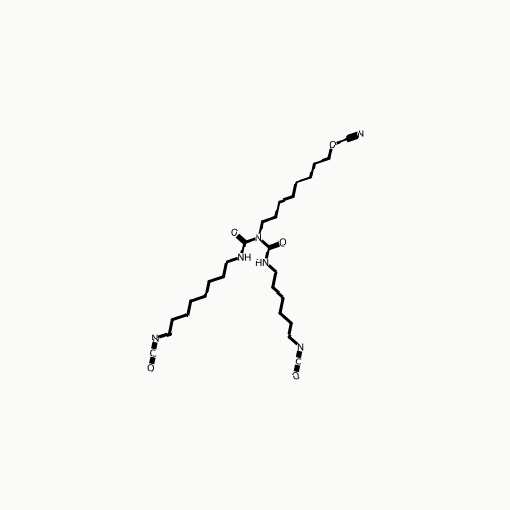 N#COCCCCCCCCN(C(=O)NCCCCCCCCN=C=O)C(=O)NCCCCCCN=C=O